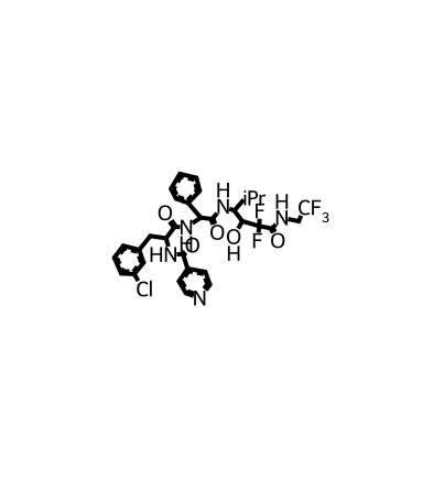 CC(C)C(NC(=O)C(NC(=O)C(Cc1cccc(Cl)c1)NC(=O)c1ccncc1)c1ccccc1)C(O)C(F)(F)C(=O)NCC(F)(F)F